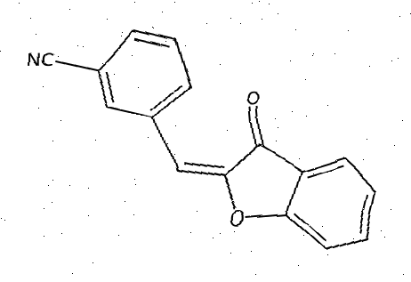 N#Cc1cccc(C=C2Oc3ccccc3C2=O)c1